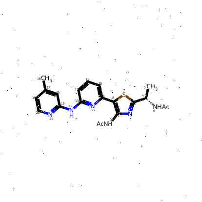 CC(=O)Nc1nc([C@H](C)NC(C)=O)sc1-c1cccc(Nc2cc(C)ccn2)n1